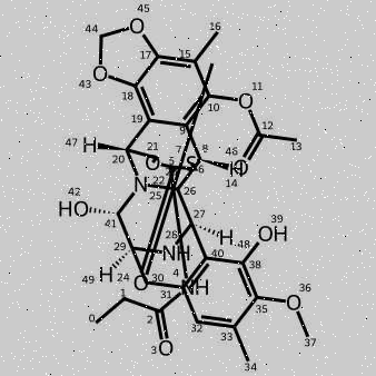 CCC(=O)NC1CS[C@@H]2c3c(OC(C)=O)c(C)c4c(c3[C@H](COC1=O)N1C2[C@@H]2N[C@@H](Cc3cc(C)c(OC)c(O)c32)[C@@H]1O)OCO4